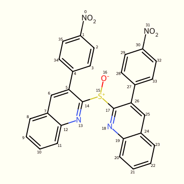 O=[N+]([O-])c1ccc(-c2cc3ccccc3nc2[S+]([O-])c2nc3ccccc3cc2-c2ccc([N+](=O)[O-])cc2)cc1